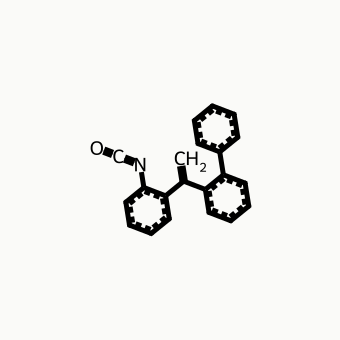 C=C(c1ccccc1N=C=O)c1ccccc1-c1ccccc1